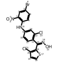 O=[N+]([O-])c1cc(Br)ccc1Nc1ccc(C(=NO)c2sccc2Cl)c(Cl)c1